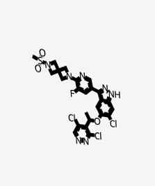 CC(Oc1cc2c(-c3cnc(N4CC5(C4)CN(S(C)(=O)=O)C5)c(F)c3)n[nH]c2cc1Cl)c1c(Cl)cnnc1Cl